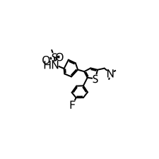 CN(C)Cc1cc(-c2ccc(NS(C)(=O)=O)cc2)c(-c2ccc(F)cc2)s1